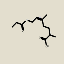 CCC(=O)OC/C=C(/C)CCC(C)C(=O)O